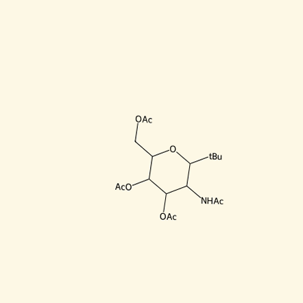 CC(=O)NC1C(OC(C)=O)C(OC(C)=O)C(COC(C)=O)OC1C(C)(C)C